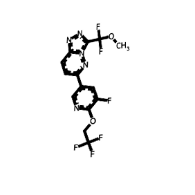 COC(F)(F)c1nnc2ccc(-c3cnc(OCC(F)(F)F)c(F)c3)nn12